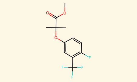 COC(=O)C(C)(C)Oc1ccc(F)c(C(F)(F)F)c1